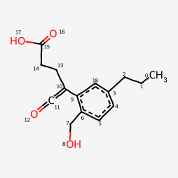 CCCc1ccc(CO)c(C(=C=O)CCC(=O)O)c1